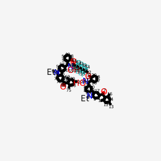 CCn1c2ccc(C(=O)c3c(C)cc(C)cc3C)cc2c2cc(/C(=N\O)c3ccccc3OCC(F)(F)C(F)(F)C(F)(F)C(F)(F)COc3ccccc3/C(=N/O)c3ccc4c(c3)c3cc(C(=O)c5c(C)cc(C)cc5C)ccc3n4CC)ccc21